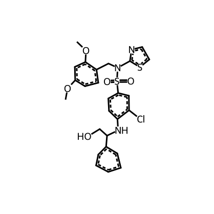 COc1ccc(CN(c2nccs2)S(=O)(=O)c2ccc(NC(CO)c3ccccc3)c(Cl)c2)c(OC)c1